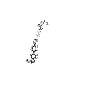 C=CC(=O)OCCCCCCOc1ccc(-c2ccc(OC(C)CC)cc2)cc1